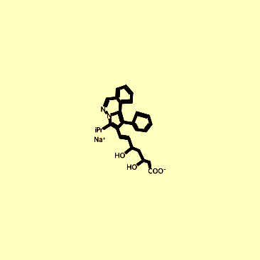 CC(C)c1c(C=CC(O)CC(O)CC(=O)[O-])c(-c2ccccc2)c2c3ccccc3cnn12.[Na+]